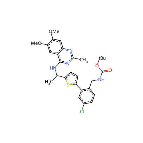 COc1cc2nc(C)nc(NC(C)c3ccc(-c4cc(Cl)ccc4CNC(=O)OC(C)(C)C)s3)c2cc1OC